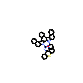 c1ccc(-n2c3ccc4ccccc4c3c3c4ccccc4c4c5c6ccccc6ccc5n(-c5nc6c7c(cccc7n5)Sc5ccccc5-6)c4c32)cc1